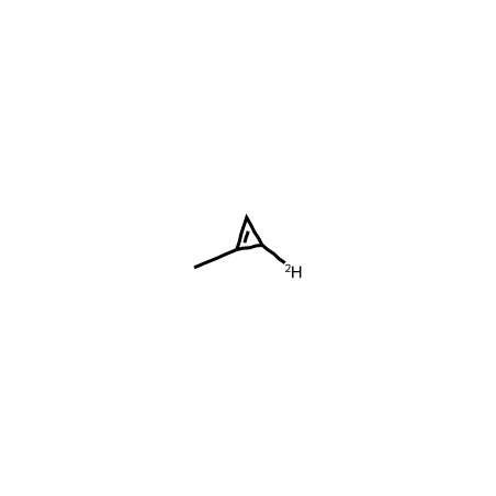 [2H]C1C=C1C